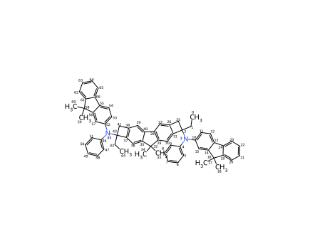 CCC1(N(c2ccccc2)c2ccc3c(c2)C(C)(C)c2ccccc2-3)Cc2cc3c(cc21)C(C)(C)c1cc2c(cc1-3)CC2(CC)N(c1ccccc1)c1ccc2c(c1)C(C)(C)c1ccccc1-2